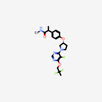 CCNC(=O)C(C)c1ccc(O[C@@H]2CCN(c3ncnc(OCC(C)(F)F)c3F)C2)cc1